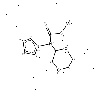 S=C([S][Mo])N(C1COCCO1)n1ccnc1